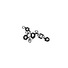 O=C(c1ccc2c(c1)N(Cc1ccc(Cl)cc1)C(=O)c1ccccc1[S+]2[O-])N1CCN(c2ccccc2)CC1